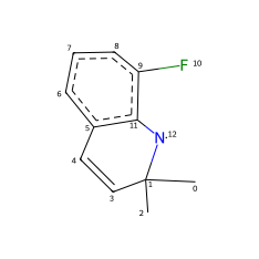 CC1(C)C=Cc2cccc(F)c2[N]1